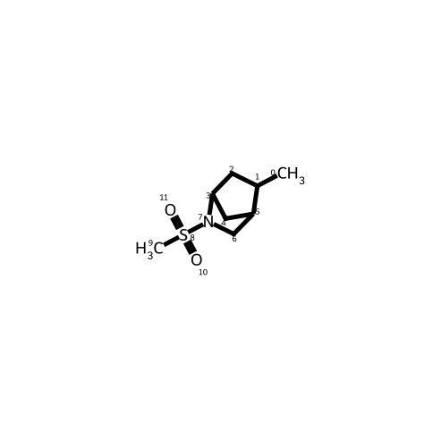 CC1CC2CC1CN2S(C)(=O)=O